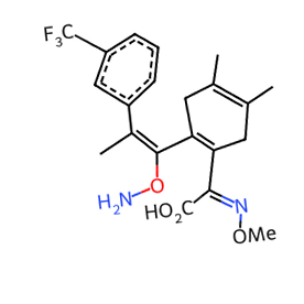 CON=C(C(=O)O)C1=C(C(ON)=C(C)c2cccc(C(F)(F)F)c2)CC(C)=C(C)C1